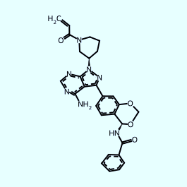 C=CC(=O)N1CCC[C@@H](n2nc(-c3ccc4c(c3)OCO[C@H]4NC(=O)c3ccccc3)c3c(N)ncnc32)C1